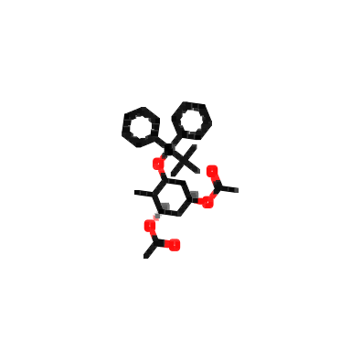 CC(=O)O[C@@H]1CC(O[Si](c2ccccc2)(c2ccccc2)C(C)(C)C)C(C)[C@@H](OC(C)=O)C1